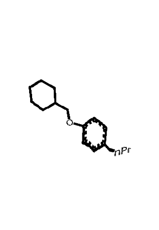 CCCc1ccc(OCC2CCCCC2)cc1